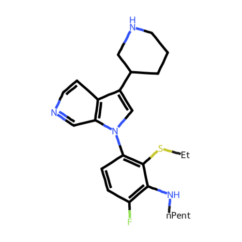 CCCCCNc1c(F)ccc(-n2cc(C3CCCNC3)c3ccncc32)c1SCC